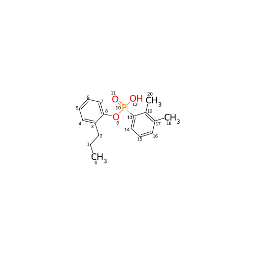 CCCc1ccccc1OP(=O)(O)c1cccc(C)c1C